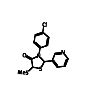 CSC1SC(c2cccnc2)N(c2ccc(Cl)cc2)C1=O